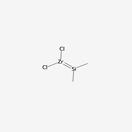 C[Si](C)=[Zr]([Cl])[Cl]